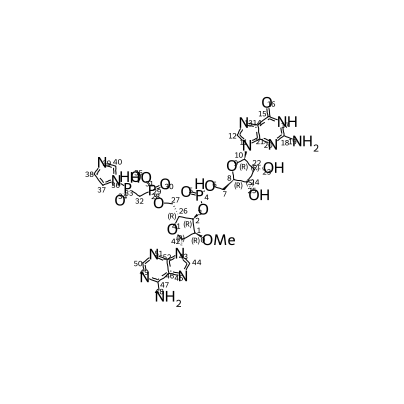 CO[C@@H]1[C@H](O[PH](=O)OC[C@H]2O[C@@H](n3cnc4c(=O)[nH]c(N)nc43)[C@H](O)[C@@H]2O)[C@@H](COP(=O)(O)CP(=O)(O)n2ccnc2)O[C@H]1n1cnc2c(N)ncnc21